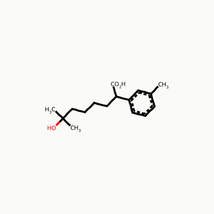 Cc1cccc(C(CCCCC(C)(C)O)C(=O)O)c1